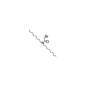 CCCCCCCCN(CCCCCCCC)C(=O)CBr